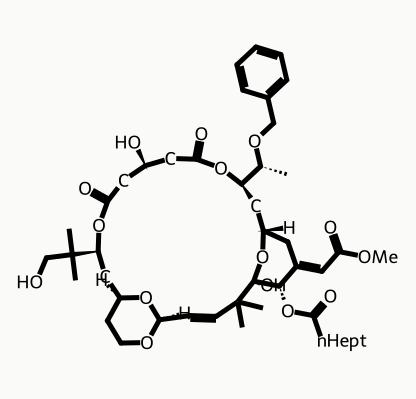 CCCCCCCC(=O)O[C@H]1/C(=C/C(=O)OC)C[C@H]2C[C@H]([C@@H](C)OCc3ccccc3)OC(=O)C[C@H](O)CC(=O)O[C@H](C(C)(C)CO)C[C@@H]3CCO[C@H](/C=C/C(C)(C)[C@]1(O)O2)O3